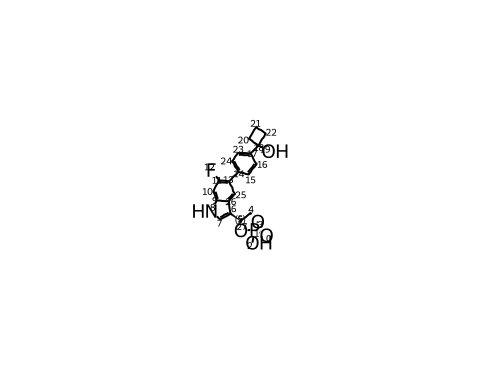 O=P1(O)OC[C@H](c2c[nH]c3cc(F)c(-c4ccc(C5(O)CCC5)cc4)cc23)O1